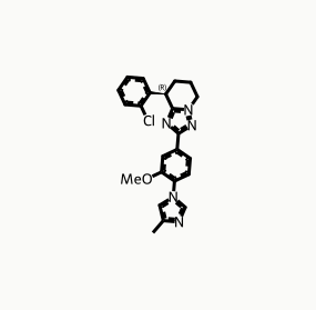 COc1cc(-c2nc3n(n2)CCC[C@@H]3c2ccccc2Cl)ccc1-n1cnc(C)c1